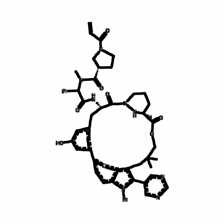 C=CC(=O)N1CC[C@H](C(=O)N(C)C(C(=O)N[C@H]2Cc3cc(O)cc(c3)-c3ccc4c(c3)c(c(-c3cncnc3)n4CC)CC(C)(C)COC(=O)[C@@H]3CCCN(N3)C2=O)C(C)C)C1